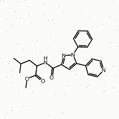 COC(=O)C(CC(C)C)NC(=O)c1cc(-c2ccncc2)n(-c2ccccc2)n1